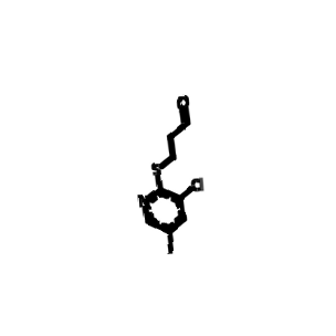 Cc1cnc(SCCC=O)c(Cl)c1